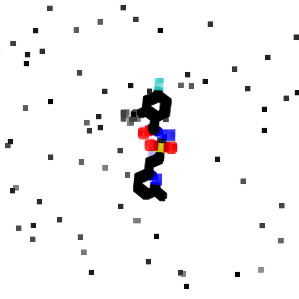 Cc1cccc(/C=C/S(=O)(=O)NC(=O)c2ccc(F)cc2C(F)(F)F)n1